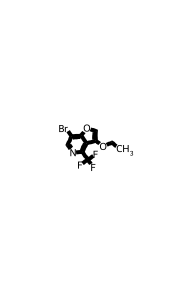 CCOc1coc2c(Br)cnc(C(F)(F)F)c12